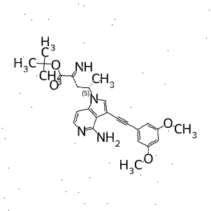 COc1cc(C#Cc2cn([C@@H](C)CC(=N)C(=O)OC(C)(C)C)c3ccnc(N)c23)cc(OC)c1